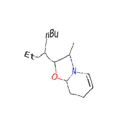 CCCCC(CC)C1OC2CCC=CN2C1C